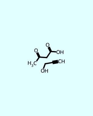 C#CCO.CC(=O)CC(=O)O